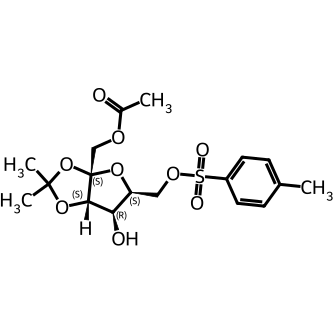 CC(=O)OC[C@@]12O[C@@H](COS(=O)(=O)c3ccc(C)cc3)[C@@H](O)[C@@H]1OC(C)(C)O2